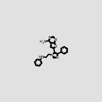 Nc1ncnc2sc(-c3c(-c4ccccc4)ncn3CCNc3ccccc3)cc12